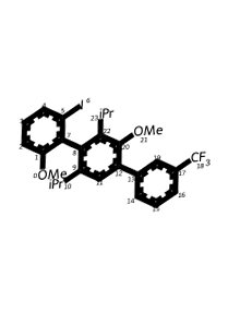 COc1cccc(I)c1-c1c(C(C)C)cc(-c2cccc(C(F)(F)F)c2)c(OC)c1C(C)C